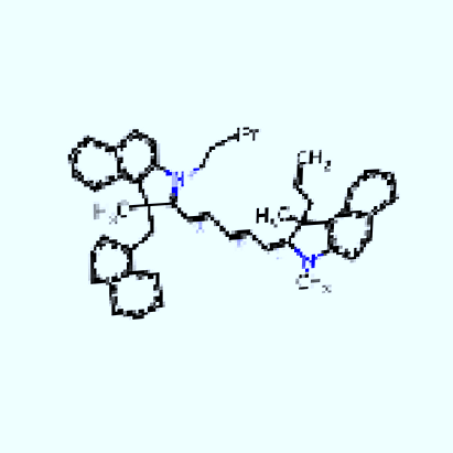 C=CCC1(C)\C(=C/C=C/C=C/C2=[N+](CCC(C)C)c3ccc4ccccc4c3C2(C)Cc2cccc3ccccc23)N(C)c2ccc3ccccc3c21